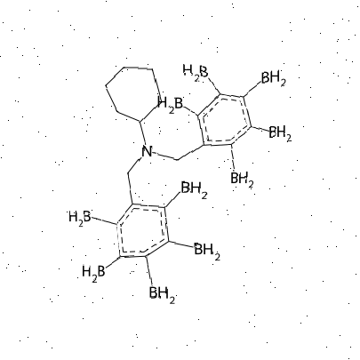 Bc1c(B)c(B)c(CN(Cc2c(B)c(B)c(B)c(B)c2B)C2CCCCC2)c(B)c1B